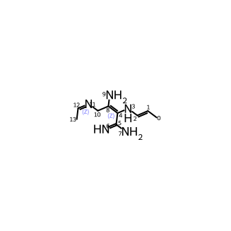 CC=CN/C(C(=N)N)=C(\N)C/N=C\C